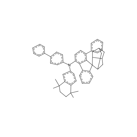 CC1(C)CCC(C)(C)c2cc(N(c3ccc(-c4ccccc4)cc3)c3ccc(-c4ccccc4)c4c3-c3ccccc3C43C4CC5CC(C4)C3C5)ccc21